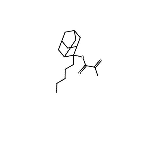 C=C(C)C(=O)OC1(CCCCC)C2CC3CC(C2)CC1C3